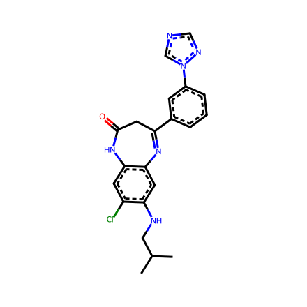 CC(C)CNc1cc2c(cc1Cl)NC(=O)CC(c1cccc(-n3cncn3)c1)=N2